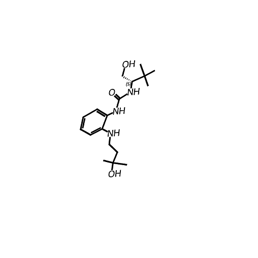 CC(C)(O)CCNc1ccccc1NC(=O)N[C@H](CO)C(C)(C)C